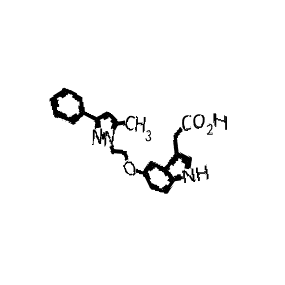 Cc1cc(-c2ccccc2)nn1CCOc1ccc2[nH]cc(CC(=O)O)c2c1